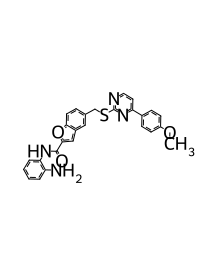 COc1ccc(-c2ccnc(SCc3ccc4oc(C(=O)Nc5ccccc5N)cc4c3)n2)cc1